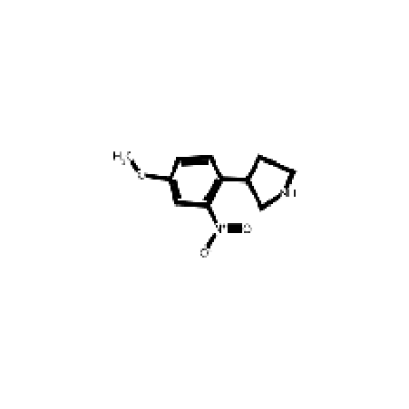 COc1ccc(C2CCNC2)c([N+](=O)[O-])c1